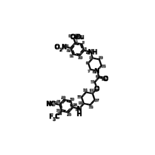 CC(C)COc1cc(NC2CCN(C(=O)COC3CCC(Nc4ccc(C#N)c(C(F)(F)F)c4)CC3)CC2)ccc1[N+](=O)[O-]